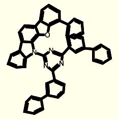 c1ccc(-c2cccc(-c3nc(-c4cccc(-c5ccccc5)c4)nc(-n4c5ccccc5c5ccc6c7cccc(-c8ccccc8)c7oc6c54)n3)c2)cc1